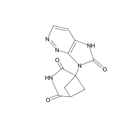 O=C1NC(=O)C2(n3c(=O)[nH]c4ccnnc43)CC1C2